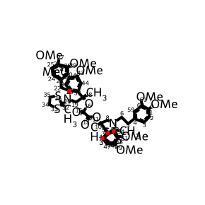 COc1ccc(CCN(CC(C)(OC(=O)C(=O)OC(C)(CN(CCc2ccc(OC)c(OC)c2)C2(C)SCCS2)c2ccc(OC)c(OC)c2)c2ccc(OC)c(OC)c2)C2(C)SCCS2)cc1OC